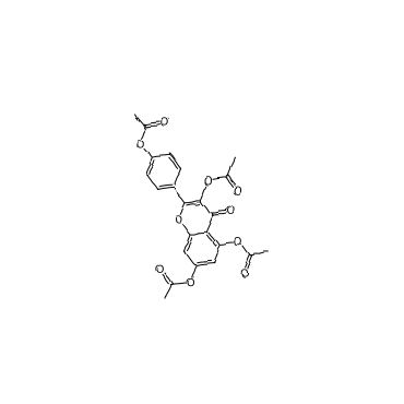 CC(=O)Oc1ccc(-c2oc3cc(OC(C)=O)cc(OC(C)=O)c3c(=O)c2OC(C)=O)cc1